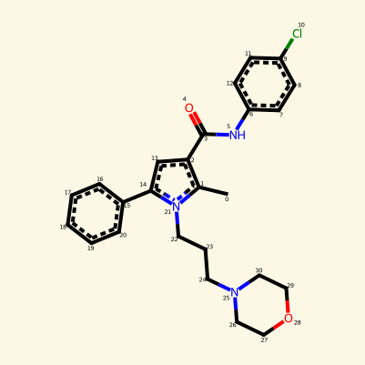 Cc1c(C(=O)Nc2ccc(Cl)cc2)cc(-c2ccccc2)n1CCCN1CCOCC1